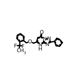 CC(F)(F)c1ccccc1COCc1cc(=O)n2nc(-c3ccccc3)nc2[nH]1